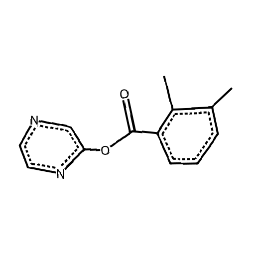 Cc1cccc(C(=O)Oc2cnccn2)c1C